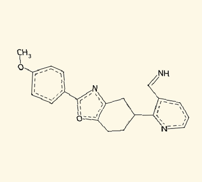 COc1ccc(-c2nc3c(o2)CCC(c2ncccc2C=N)C3)cc1